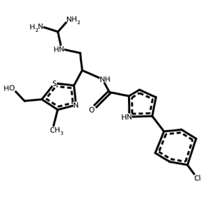 Cc1nc(C(CNC(N)N)NC(=O)c2ccc(-c3ccc(Cl)cc3)[nH]2)sc1CO